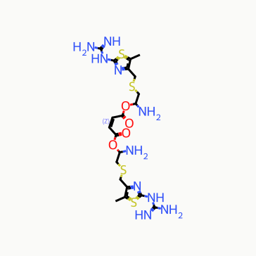 Cc1sc(NC(=N)N)nc1CSCC(N)OC(=O)/C=C\C(=O)OC(N)CSCc1nc(NC(=N)N)sc1C